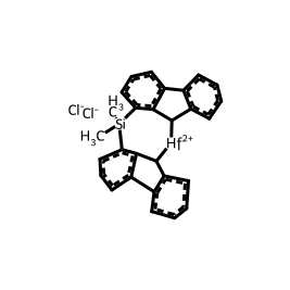 C[Si]1(C)c2cccc3c2[CH]([Hf+2][CH]2c4ccccc4-c4cccc1c42)c1ccccc1-3.[Cl-].[Cl-]